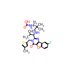 Cc1csc(Cn2c(C(N[C@H](CNC(=O)O)C(C)(C)C)C(C)C)nc3c(oc4ccc(F)cc43)c2=O)c1